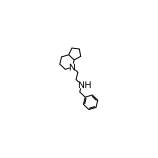 c1ccc(CNCCN2CCCC3CCCC32)cc1